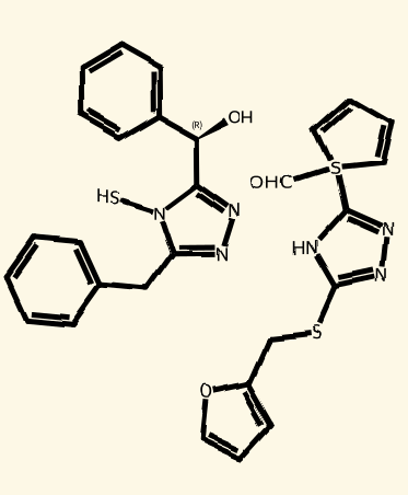 O=CS1(c2nnc(SCc3ccco3)[nH]2)C=CC=C1.O[C@H](c1ccccc1)c1nnc(Cc2ccccc2)n1S